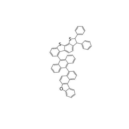 c1ccc(C2Sc3c(ccc4c3sc3cccc(-c5c6ccccc6c(-c6cccc7c6ccc6oc8ccccc8c67)c6ccccc56)c34)C2c2ccccc2)cc1